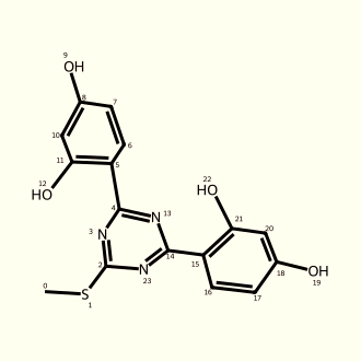 CSc1nc(-c2ccc(O)cc2O)nc(-c2ccc(O)cc2O)n1